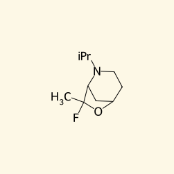 CC(C)N1CCC2CC1C(C)(F)O2